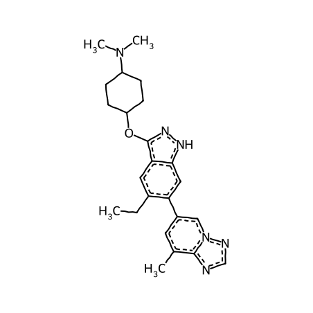 CCc1cc2c(OC3CCC(N(C)C)CC3)n[nH]c2cc1-c1cc(C)c2ncnn2c1